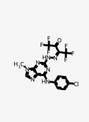 Cn1cnc2c(Nc3ccc(Cl)cc3)nc(N/N=C(\C(=O)C(F)(F)F)C(F)(F)F)nc21